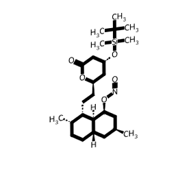 C[C@H]1C[C@@H]2CC[C@H](C)[C@H](CC[C@@H]3C[C@@H](O[Si](C)(C)C(C)(C)C)CC(=O)O3)[C@H]2[C@@H](ON=O)C1